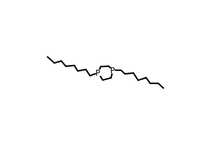 CCCCCCCCP1CCP(CCCCCCCC)CC1